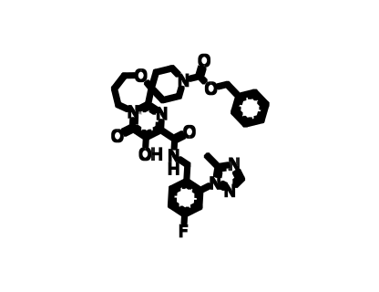 Cc1ncnn1-c1cc(F)ccc1CNC(=O)c1nc2n(c(=O)c1O)CCCOC21CCN(C(=O)OCc2ccccc2)CC1